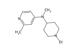 CCN1CCC(N(C)c2ccnc(C)c2)CC1